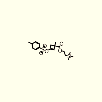 Cc1ccc(S(=O)(=O)OC2=CC(C)(C(=O)OCC[Si](C)(C)C)C2)cc1